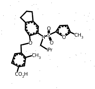 Cc1ccc(S(=O)(=O)N(CC(C)C)c2cc3c(cc2OCc2ccc(C(=O)O)cc2C)CCC3)o1